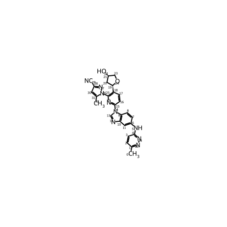 Cc1ccc(Nc2ccc3c(c2)ncn3-c2ccc([C@H]3C[C@@H](O)CO3)c(-n3nc(C#N)cc3C)n2)nn1